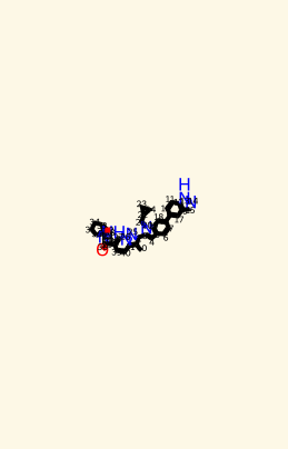 Cc1c(-c2cc3ccc(-c4ccc5[nH]ncc5c4)cc3n2CC2CC2)nn2cc(C(=O)N3CC4CCC3[C@@H]4N)ccc12